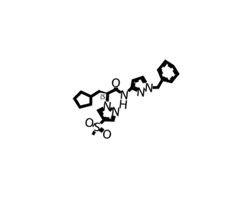 CS(=O)(=O)c1cnn([C@@H](CC2CCCC2)C(=O)Nc2ccn(Cc3ccccc3)n2)c1